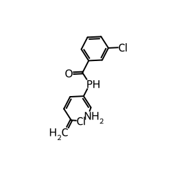 C=C(Cl)/C=C\C(=C/N)PC(=O)c1cccc(Cl)c1